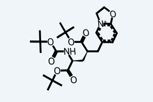 CC(C)(C)OC(=O)N[C@@H](C[C@H](Cc1ccc2[n+](c1)CCO2)C(=O)OC(C)(C)C)C(=O)OC(C)(C)C